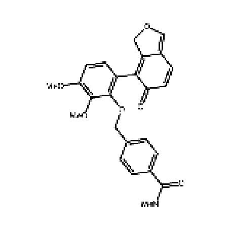 CNC(=O)c1ccc(COc2c(C3=C4COC=C4C=CC3=O)ccc(OC)c2OC)cc1